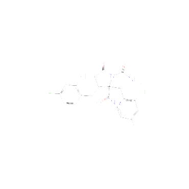 NC(=O)N1C(=O)CC(Cc2ccc(Cl)cc2Cl)C1(Cc1ccc(Cl)cc1Cl)C(N)=O